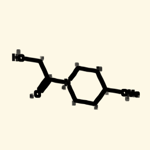 COC1CCN(C(=O)CO)CC1